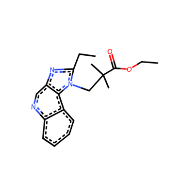 CCOC(=O)C(C)(C)Cn1c(CC)nc2cnc3ccccc3c21